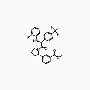 COC(=O)c1cccc([C@@H]2CCCN2C(=O)C(Nc2ccccc2F)c2ccc(C(F)(F)F)cc2)c1